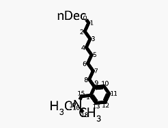 CCCCCCCCCCCCCCCCCCc1ccccc1CN(C)C